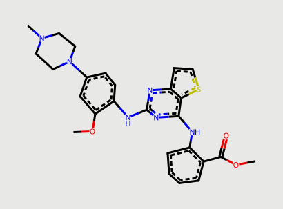 COC(=O)c1ccccc1Nc1nc(Nc2ccc(N3CCN(C)CC3)cc2OC)nc2ccsc12